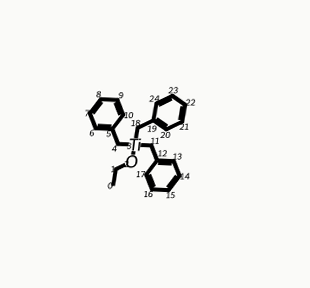 CC[O][Ti]([CH2]c1ccccc1)([CH2]c1ccccc1)[CH2]c1ccccc1